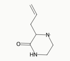 C=CCC1[N]CCNC1=O